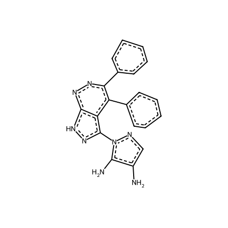 Nc1cnn(-c2n[nH]c3nnc(-c4ccccc4)c(-c4ccccc4)c23)c1N